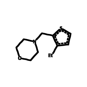 CCc1ccsc1CN1CCOCC1